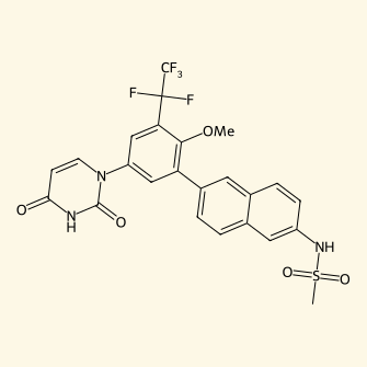 COc1c(-c2ccc3cc(NS(C)(=O)=O)ccc3c2)cc(-n2ccc(=O)[nH]c2=O)cc1C(F)(F)C(F)(F)F